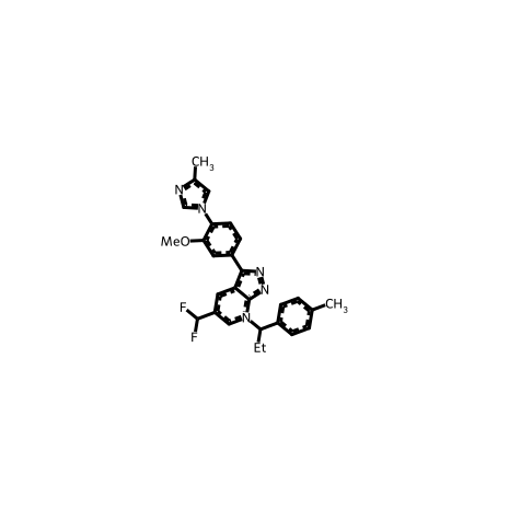 CCC(c1ccc(C)cc1)n1cc(C(F)F)cc2c(-c3ccc(-n4cnc(C)c4)c(OC)c3)nnc1-2